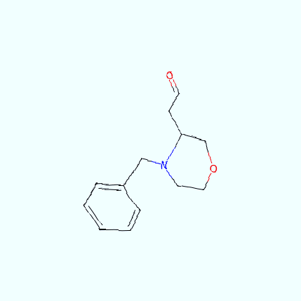 O=CCC1COCCN1Cc1ccccc1